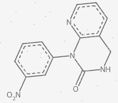 O=C1NCc2cccnc2N1c1cccc([N+](=O)[O-])c1